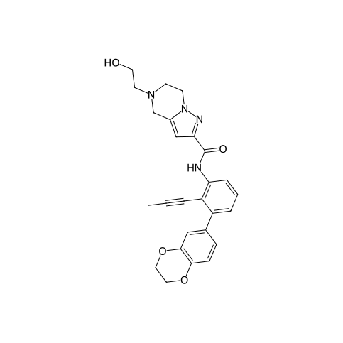 CC#Cc1c(NC(=O)c2cc3n(n2)CCN(CCO)C3)cccc1-c1ccc2c(c1)OCCO2